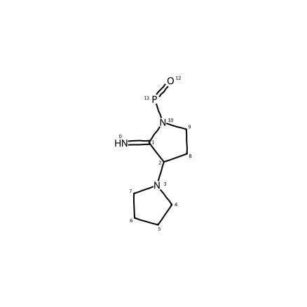 N=C1C(N2CCCC2)CCN1P=O